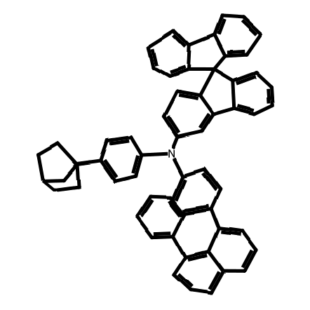 c1ccc(-c2cccc3cccc(-c4ccc(N(c5ccc(C67CCC(CC6)C7)cc5)c5ccc6c(c5)-c5ccccc5C65c6ccccc6-c6ccccc65)cc4)c23)cc1